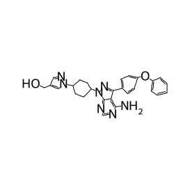 Nc1ncnc2c1c(-c1ccc(Oc3ccccc3)cc1)nn2C1CCC(n2cc(CO)cn2)CC1